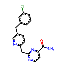 NC(=O)c1ccnc(Cc2ccc(Cc3cccc(Cl)c3)cn2)n1